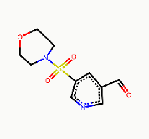 O=Cc1cncc(S(=O)(=O)N2CCOCC2)c1